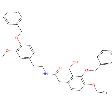 [2H]COc1ccc(CC(=O)NCCc2ccc(OCc3ccccc3)c(OC)c2)c(CO)c1OCc1ccccc1